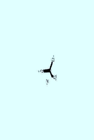 O=C(Cl)Cl.[N]